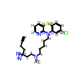 C#CCCC1(CCN(CCCCCN2c3cc(Cl)ccc3Sc3cccnc32)C(C)=O)N=N1